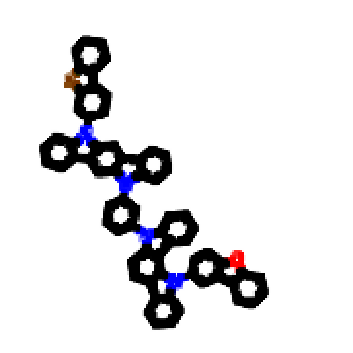 c1cc(-n2c3ccccc3c3cc4c(cc32)c2ccccc2n4-c2ccc3c(c2)sc2ccccc23)cc(-n2c3ccccc3c3c2ccc2c4ccccc4n(-c4ccc5oc6ccccc6c5c4)c23)c1